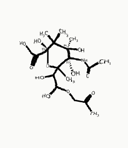 CC(=O)COC(O)C(O)C1(C)O[C@](O)(C(=O)O)C(C)(C)[C@@](C)(O)[C@@]1(O)NC(C)=O